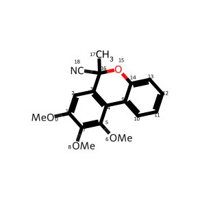 COc1cc2c(c(OC)c1OC)-c1ccccc1OC2(C)C#N